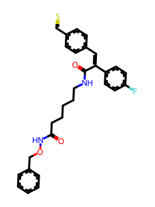 O=C(CCCCCNC(=O)C(=Cc1ccc(C=S)cc1)c1ccc(F)cc1)NOCc1ccccc1